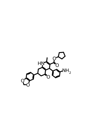 CC1=C(C(=O)OC2CCCC2)C(c2cccc(N)c2)C2=C(CC(c3ccc4c(c3)OCO4)CC2=O)N1